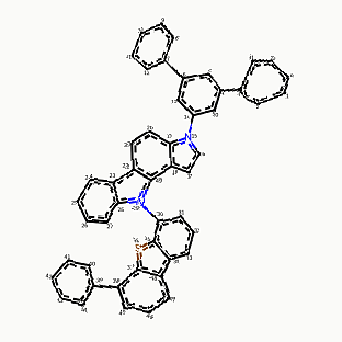 c1ccc(-c2cc(-c3ccccc3)cc(-n3ccc4c3ccc3c5ccccc5n(-c5cccc6c5sc5c(-c7ccccc7)cccc56)c34)c2)cc1